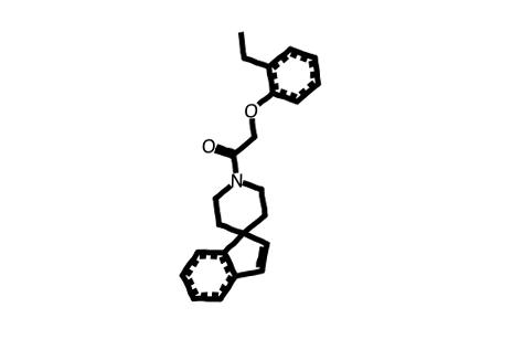 CCc1ccccc1OCC(=O)N1CCC2(C=Cc3ccccc32)CC1